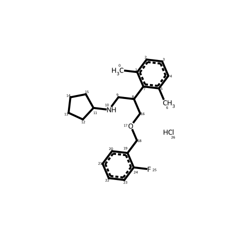 Cc1cccc(C)c1C(CNC1CCCC1)COCc1ccccc1F.Cl